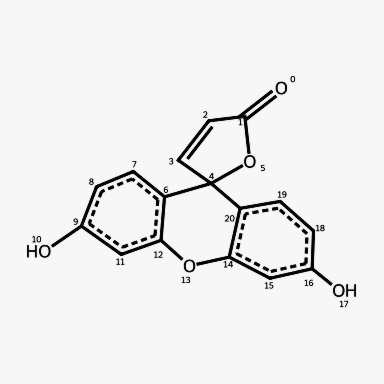 O=C1C=CC2(O1)c1ccc(O)cc1Oc1cc(O)ccc12